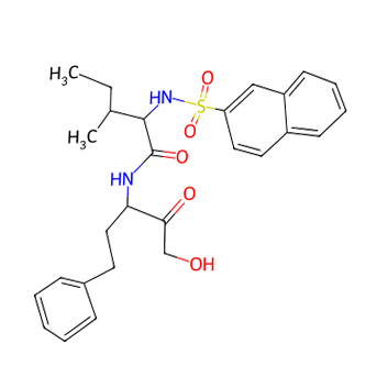 CCC(C)C(NS(=O)(=O)c1ccc2ccccc2c1)C(=O)NC(CCc1ccccc1)C(=O)CO